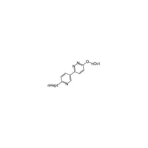 CCCCCCCCOc1ccc(-c2ccc(CCCCCCC)nc2)nn1